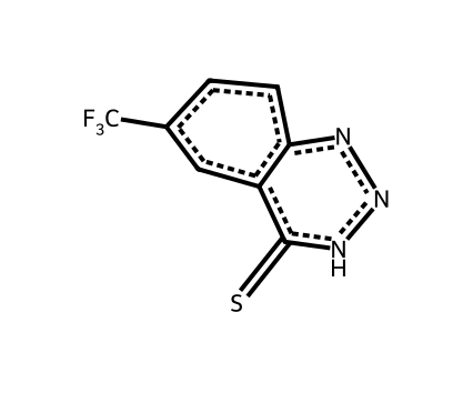 FC(F)(F)c1ccc2nn[nH]c(=S)c2c1